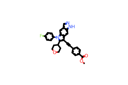 COC(=O)c1ccc(C#Cc2c(C3CCOCC3)n(-c3ccc(F)cc3)c3cc4cn[nH]c4cc23)cc1